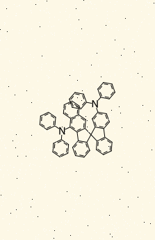 c1ccc(N(c2ccccc2)c2ccc3c(c2)C2(c4ccccc4-3)c3ccccc3-c3c2cc2ccccc2c3N(c2ccccc2)c2ccccc2)cc1